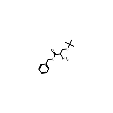 CC(C)(C)SCC(N)C(=O)OCc1ccccc1